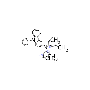 C=C/C=C(\C=C)N(C(/C=C\C)=C/C)c1ccc2c(c1)c1ccccc1n2-c1ccccc1